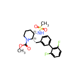 COC(=O)N1CCC[C@H](NS(C)(=O)=O)[C@@H]1Cc1cccc(-c2c(F)cccc2F)c1